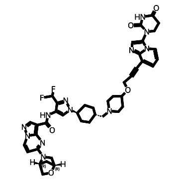 O=C1CCN(c2cnc3c(C#CCOC4CCN(C[C@H]5CC[C@H](n6cc(NC(=O)c7cnn8ccc(N9C[C@H]%10C[C@@H]9CO%10)nc78)c(C(F)F)n6)CC5)CC4)cccn23)C(=O)N1